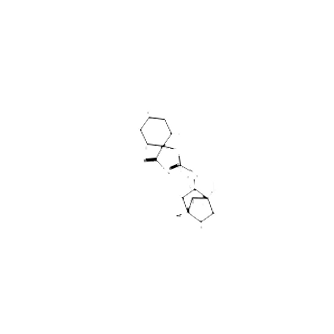 O=C1N=C(N[C@@H]2C[C@H]3CC[C@@H]2C3)SC12CCCCC2